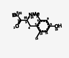 CC[C@H](C)C(=O)[C@H](Cc1c(C)cc(O)cc1C)NC